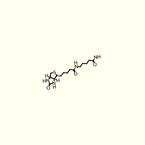 [NH]C(=O)CCCCNC(=O)CCCC[C@@H]1SC[C@@H]2NC(=O)N[C@@H]21